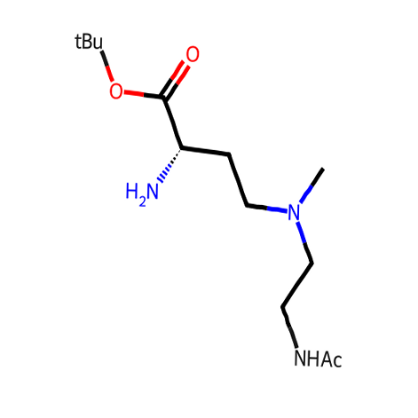 CC(=O)NCCN(C)CC[C@H](N)C(=O)OC(C)(C)C